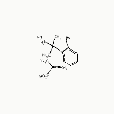 C=C(C)C(=O)O.CC(=O)c1ccccc1C(C)(C)N.Cl